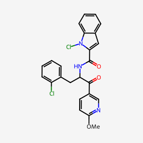 COc1ccc(C(=O)C(Cc2ccccc2Cl)NC(=O)c2cc3ccccc3n2Cl)cn1